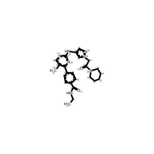 CCNC(=O)c1ccc(-c2nc(Nc3cnn(CC(=O)N4CCCCC4)c3)ncc2C)cc1